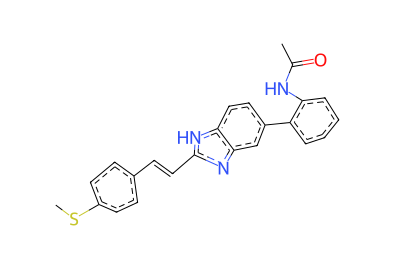 CSc1ccc(/C=C/c2nc3cc(-c4ccccc4NC(C)=O)ccc3[nH]2)cc1